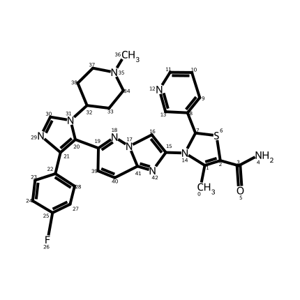 CC1=C(C(N)=O)SC(c2cccnc2)N1c1cn2nc(-c3c(-c4ccc(F)cc4)ncn3C3CCN(C)CC3)ccc2n1